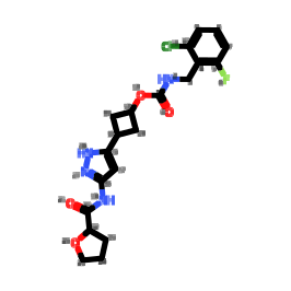 O=C(NCc1c(F)cccc1Cl)OC1CC(c2cc(NC(=O)C3CCCO3)n[nH]2)C1